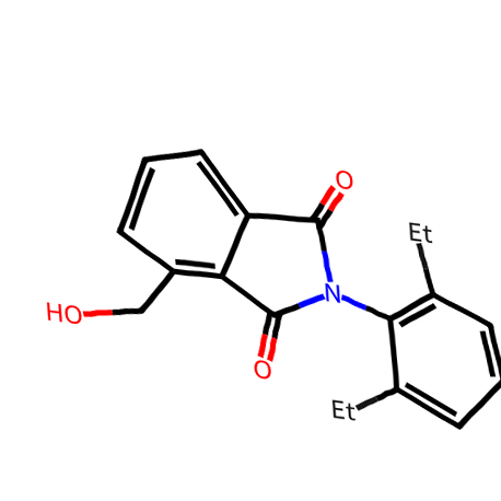 CCc1cccc(CC)c1N1C(=O)c2cccc(CO)c2C1=O